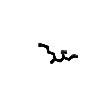 CCC(C)CC(O)CC(C)CCCC(C)C